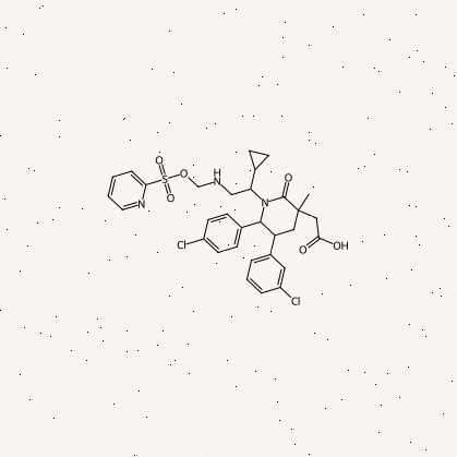 CC1(CC(=O)O)CC(c2cccc(Cl)c2)C(c2ccc(Cl)cc2)N(C(CNCOS(=O)(=O)c2ccccn2)C2CC2)C1=O